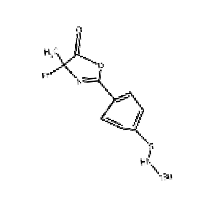 CCC1(C)N=C(c2ccc(SNC(C)(C)C)cc2)OC1=O